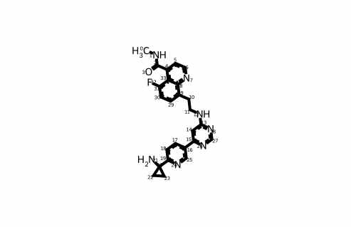 CNC(=O)c1ccnc2c(CCNc3cc(-c4ccc(C5(N)CC5)nc4)ncn3)ccc(F)c12